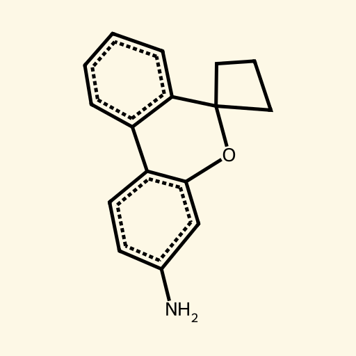 Nc1ccc2c(c1)OC1(CCC1)c1ccccc1-2